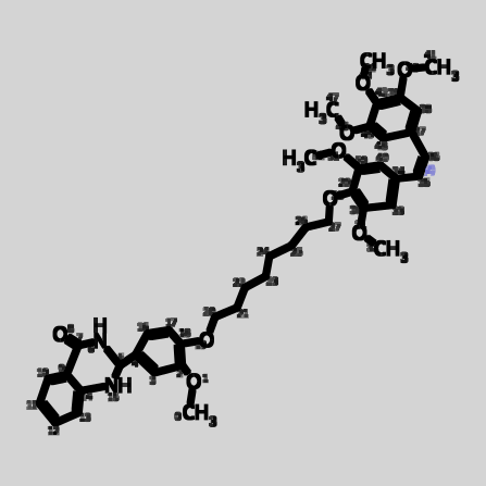 COc1cc(C2NC(=O)c3ccccc3N2)ccc1OCCCCCCCCOc1c(OC)cc(/C=C\c2cc(OC)c(OC)c(OC)c2)cc1OC